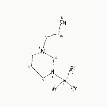 CC(C)[Si](C(C)C)(C(C)C)N1CCCN(CCC#N)C1